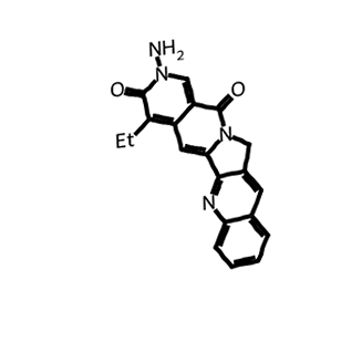 CCc1c(=O)n(N)cc2c(=O)n3c(cc12)-c1nc2ccccc2cc1C3